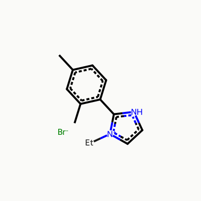 CC[n+]1cc[nH]c1-c1ccc(C)cc1C.[Br-]